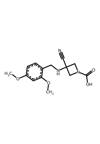 COc1ccc(CNC2(C#N)CN(C(=O)O)C2)c(OC)c1